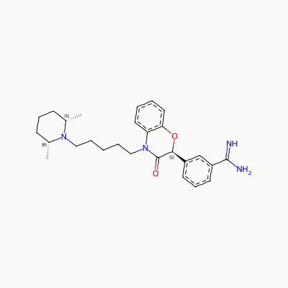 C[C@@H]1CCC[C@H](C)N1CCCCCN1C(=O)[C@H](c2cccc(C(=N)N)c2)Oc2ccccc21